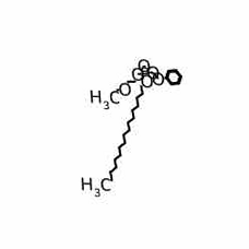 CCCCCCCCCCCCCCCCCOP(=O)(OCCOCC)OOc1ccccc1